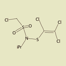 CC(C)N(SC(Cl)=C(Cl)Cl)S(=O)(=O)CCl